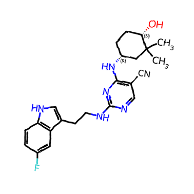 CC1(C)C[C@H](Nc2nc(NCCc3c[nH]c4ccc(F)cc34)ncc2C#N)CC[C@@H]1O